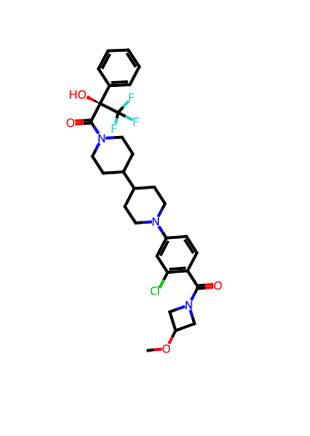 COC1CN(C(=O)c2ccc(N3CCC(C4CCN(C(=O)[C@](O)(c5ccccc5)C(F)(F)F)CC4)CC3)cc2Cl)C1